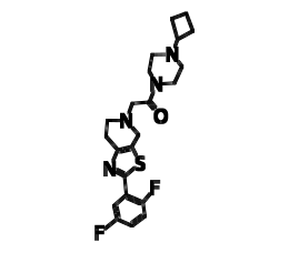 O=C(CN1CCc2nc(-c3cc(F)ccc3F)sc2C1)N1CCN(C2CCC2)CC1